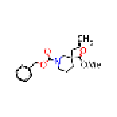 C=CCC1(C(=O)OC)CCCN(C(=O)OCc2ccccc2)C1